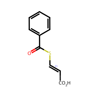 O=C(O)/C=C/SC(=O)c1ccccc1